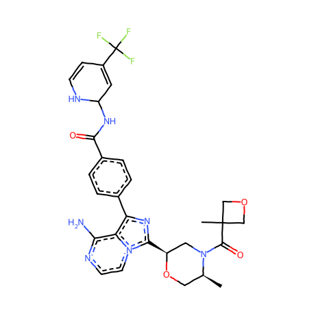 C[C@H]1CO[C@@H](c2nc(-c3ccc(C(=O)NC4C=C(C(F)(F)F)C=CN4)cc3)c3c(N)nccn23)CN1C(=O)C1(C)COC1